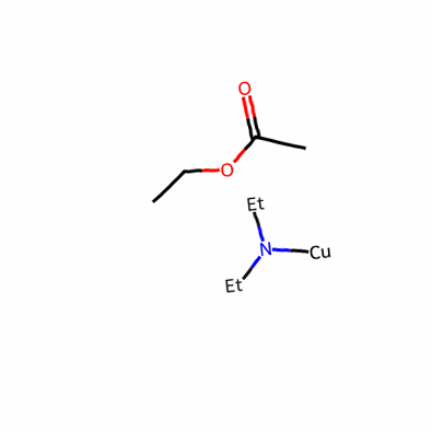 CCOC(C)=O.CC[N]([Cu])CC